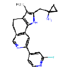 NC1(Cc2[nH]c3c(c2C(=O)O)CCc2cnc(-c4ccnc(F)c4)cc2-3)CC1